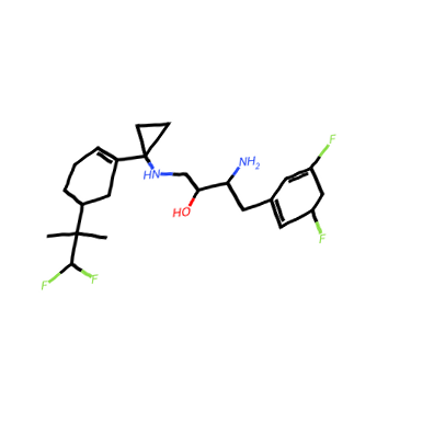 CC(C)(C(F)F)C1CCC=C(C2(NCC(O)C(N)CC3=CC(F)CC(F)=C3)CC2)C1